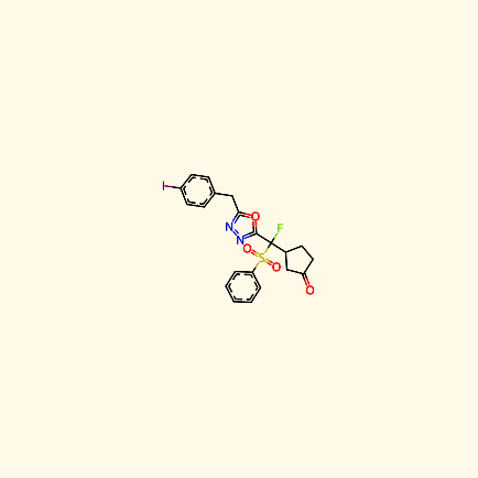 O=C1CCC(C(F)(c2nnc(Cc3ccc(I)cc3)o2)S(=O)(=O)c2ccccc2)C1